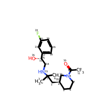 CC(C)(C[C@@H]1CCCN(C(=O)C(F)(F)F)C1)NC[C@H](O)c1cccc(F)c1